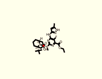 CCOC(=O)c1nc(N(C)[C@H]2C[C@@H]3CCC[C@](C(C)(C)C)(C2)N3C(=O)O)nc(Nc2cc(C)[nH]n2)c1F